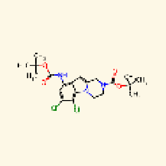 CC(C)(C)OC(=O)Nc1cc(Cl)c(Cl)c2c1cc1n2CCN(C(=O)OC(C)(C)C)C1